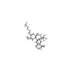 COCCCOc1cc2c(cc1OC)-c1cc(=O)c(C(=O)O)cn1[C@H](C(C)(C)C)CO2